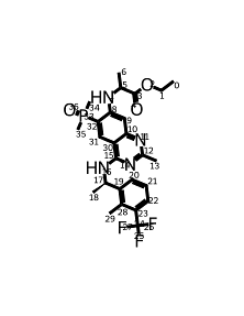 CCOC(=O)C(C)Nc1cc2nc(C)nc(N[C@H](C)c3cccc(C(F)(F)F)c3C)c2cc1P(C)(C)=O